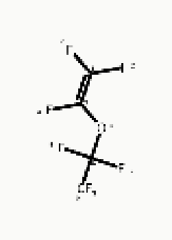 FC(I)=C(F)OC(F)(F)C(F)(F)F